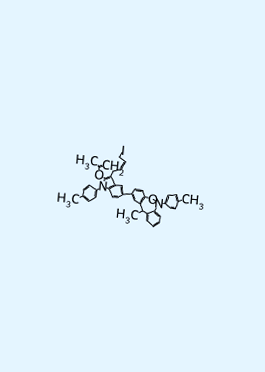 C=C(C)Oc1c(C/C=C\CI)c2cc(-c3ccc4c(c3)C(C)c3ccccc3N(c3ccc(C)cc3)O4)ccc2n1-c1ccc(C)cc1